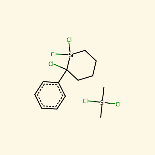 C[Si](C)(Cl)Cl.ClC1(c2ccccc2)CCCC[Si]1(Cl)Cl